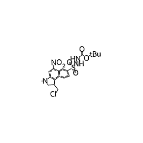 CC(C)(C)OC(=O)NNS(=O)(=O)c1ccc2c3c(cc([N+](=O)[O-])c2c1)[N]CC3CCl